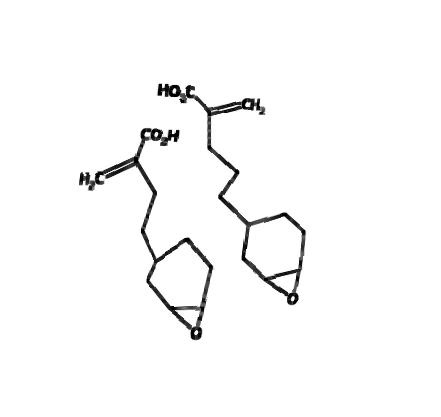 C=C(CCC1CCC2OC2C1)C(=O)O.C=C(CCCC1CCC2OC2C1)C(=O)O